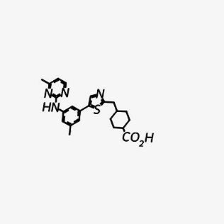 Cc1cc(Nc2nccc(C)n2)cc(-c2cnc(CC3CCC(C(=O)O)CC3)s2)c1